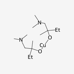 CCC(C)(CN(C)C)[O][Cu][O]C(C)(CC)CN(C)C